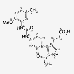 COc1ccc(C)cc1NC(=O)Nc1ccc(-c2c(CCC(=O)O)c[nH]c2C(N)=O)cc1